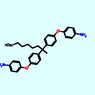 CCCCCCCCCCCCCCCC(C)(c1ccc(Oc2ccc(N)cc2)cc1)c1ccc(Oc2ccc(N)cc2)cc1